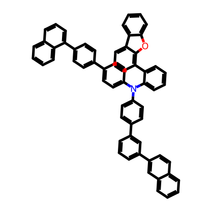 c1cc(-c2ccc(N(c3ccc(-c4ccc(-c5cccc6ccccc56)cc4)cc3)c3ccccc3-c3cccc4c3oc3ccccc34)cc2)cc(-c2ccc3ccccc3c2)c1